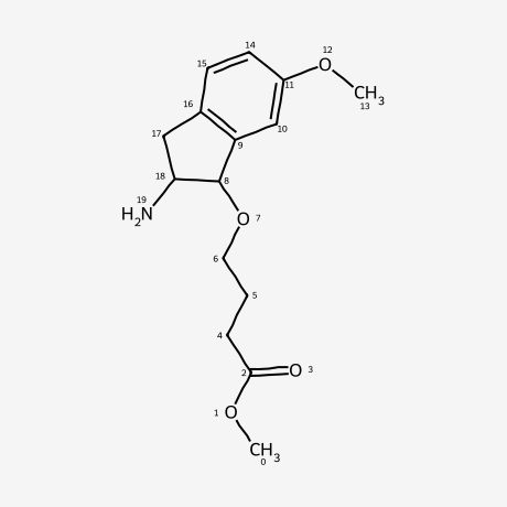 COC(=O)CCCOC1c2cc(OC)ccc2CC1N